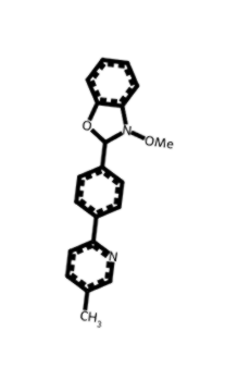 CON1c2ccccc2OC1c1ccc(-c2ccc(C)cn2)cc1